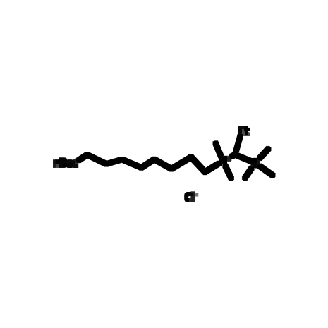 CCCCCCCCCCCCCCCCCC[N+](C)(C)C(CC)[Si](C)(C)C.[Cl-]